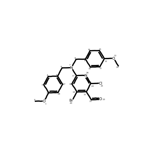 COc1ccc(CN(Cc2ccc(OC)cc2)c2cc(Br)c(C=O)c(Cl)n2)cc1